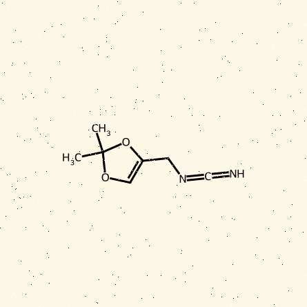 CC1(C)OC=C(CN=C=N)O1